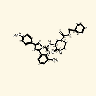 COc1ccc(-c2nc3c4cccc(C)c4nc(N[C@H]4CN(C(=O)OCc5ccccc5)CCNC4=O)n3n2)cc1